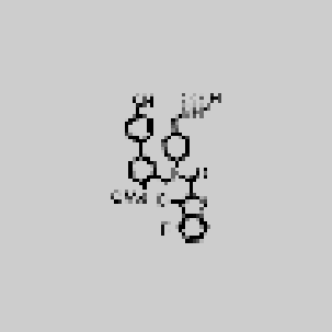 COc1ccc(-c2ccc(C#N)cc2)cc1CN(C(=O)c1sc2cccc(F)c2c1Cl)C1CCC(CNC(=O)O)CC1